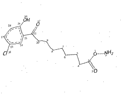 NOC(=O)CCCCCCCC(=O)c1cc(Cl)ccc1O